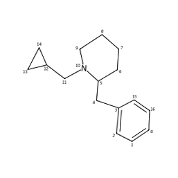 c1ccc(CC2CCCCN2CC2CC2)cc1